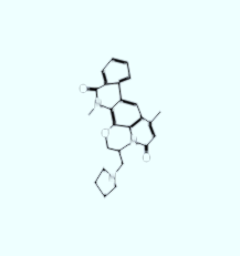 Cc1cc(=O)n2c3c(c4c(cc13)c1ccccc1c(=O)n4C)OCC2CN1CCCC1